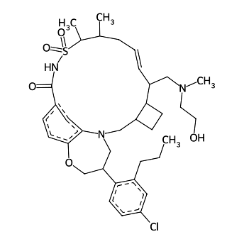 CCCc1cc(Cl)ccc1C1COc2ccc3cc2N(C1)CC1CCC1C(CN(C)CCO)/C=C/CC(C)C(C)S(=O)(=O)NC3=O